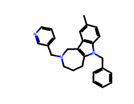 Cc1ccc2c(c1)c1c(n2Cc2ccccc2)CCCN(Cc2cccnc2)C1